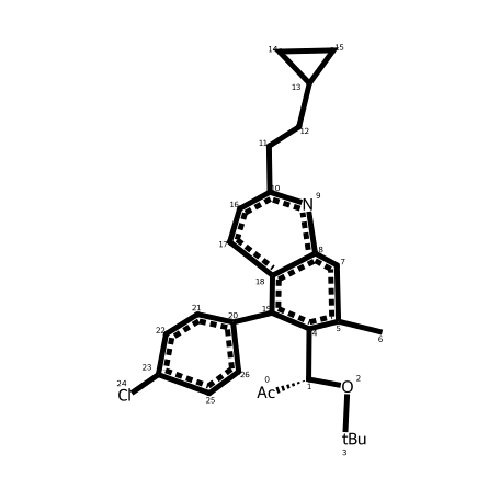 CC(=O)[C@@H](OC(C)(C)C)c1c(C)cc2nc(CCC3CC3)ccc2c1-c1ccc(Cl)cc1